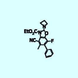 CCOC(=O)N1c2c(C#N)c(C)c(-c3ccccc3)c(F)c2OC1N1CCC1